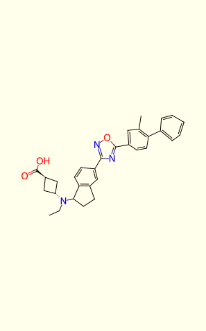 CCN(C1CCc2cc(-c3noc(-c4ccc(-c5ccccc5)c(C)c4)n3)ccc21)[C@H]1C[C@H](C(=O)O)C1